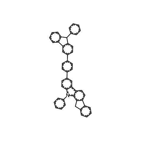 c1ccc(C2c3ccccc3-c3cc(-c4ccc(-c5ccc6c(c5)c5ccc7c(c5n6-c5ccccc5)Cc5ccccc5-7)cc4)ccc32)cc1